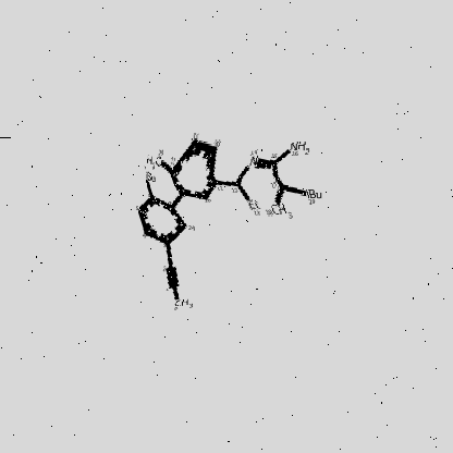 CC#Cc1ccc(C(C)CC)c(-c2cc(C(CC)/N=C(/N)C(C)C(C)CC)ccc2C)c1